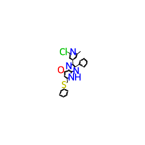 Cc1cc(-c2nc3c(=O)cc(CSc4ccccc4)[nH]c3nc2-c2ccccc2)cc(Cl)n1